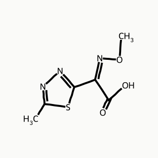 CON=C(C(=O)O)c1nnc(C)s1